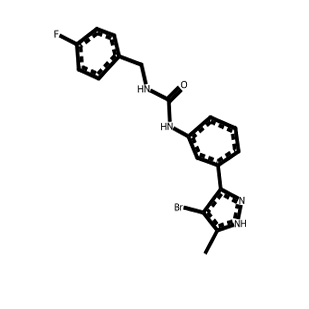 Cc1[nH]nc(-c2cccc(NC(=O)NCc3ccc(F)cc3)c2)c1Br